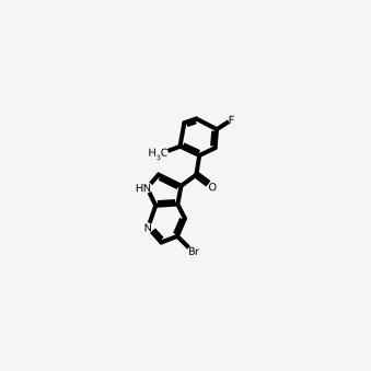 Cc1ccc(F)cc1C(=O)c1c[nH]c2ncc(Br)cc12